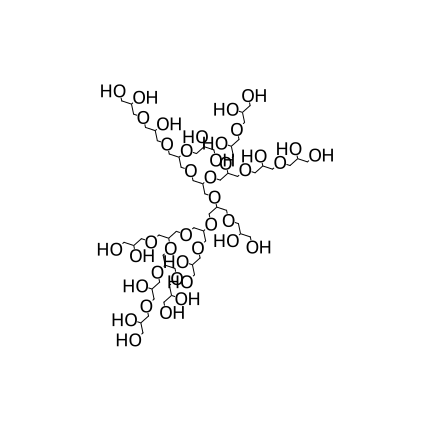 OCC(O)COCC(O)COCC(COCC(COC(COCC(O)CO)COC(COCC(O)CO)COCC(COCC(O)CO)OCC(COCC(O)CO)OCC(O)COCC(O)CO)OCC(COCC(O)COCC(O)CO)OCC(O)COCC(O)CO)OCC(O)CO